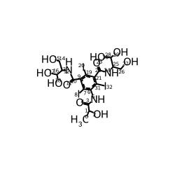 CC(O)C(=O)Nc1c(I)c(C(=O)NC(CO)C(O)O)c(I)c(C(=O)NC(CO)C(O)O)c1I